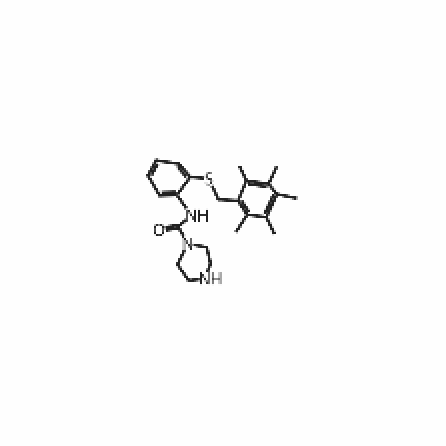 Cc1c(C)c(C)c(CSc2ccccc2NC(=O)N2CCNCC2)c(C)c1C